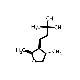 C=C1OC[C@@H](C)/C1=C\CC(C)(C)C